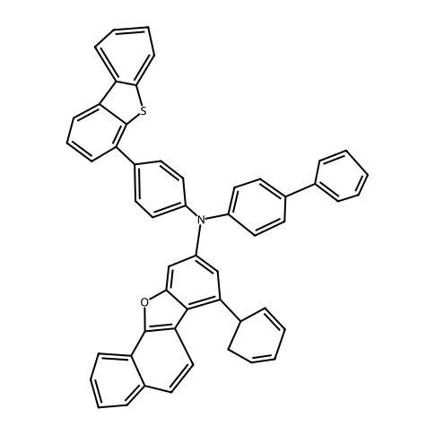 C1=CCC(c2cc(N(c3ccc(-c4ccccc4)cc3)c3ccc(-c4cccc5c4sc4ccccc45)cc3)cc3oc4c5ccccc5ccc4c23)C=C1